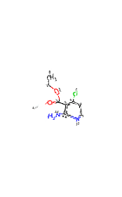 CCOC(=O)c1c(Cl)ccnc1N